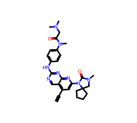 C#Cc1cc(N2C(=O)N(C)CC23CCCC3)nc2nc(Nc3ccc(N(C)C(=O)CN(C)C)cc3)ncc12